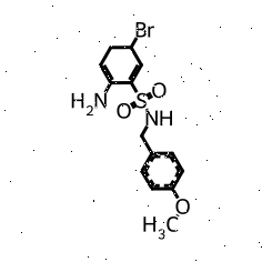 COc1ccc(CNS(=O)(=O)C2=CC(Br)CC=C2N)cc1